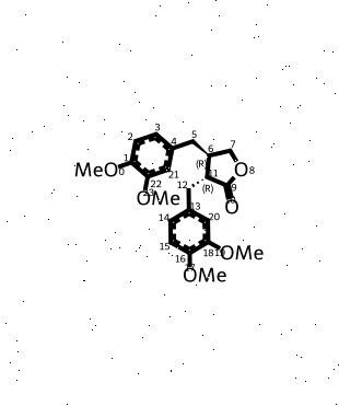 COc1ccc(C[C@H]2COC(=O)[C@@H]2Cc2ccc(OC)c(OC)c2)cc1OC